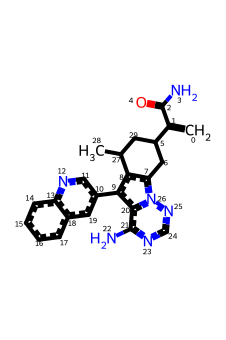 C=C(C(N)=O)C1Cc2c(c(-c3cnc4ccccc4c3)c3c(N)ncnn23)C(C)C1